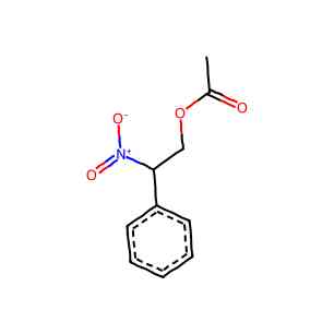 CC(=O)OCC(c1ccccc1)[N+](=O)[O-]